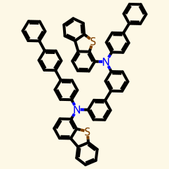 c1ccc(-c2ccc(-c3ccc(N(c4cccc(-c5cccc(N(c6ccc(-c7ccccc7)cc6)c6cccc7c6sc6ccccc67)c5)c4)c4cccc5c4sc4ccccc45)cc3)cc2)cc1